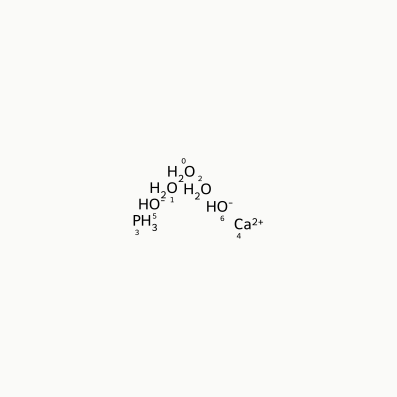 O.O.O.P.[Ca+2].[OH-].[OH-]